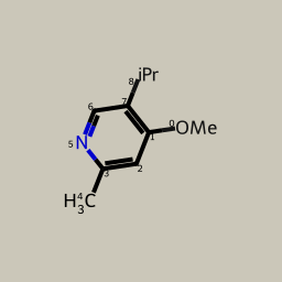 COc1cc(C)ncc1C(C)C